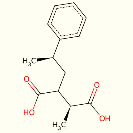 C[C@H](CC(C(=O)O)[C@H](C)C(=O)O)c1ccccc1